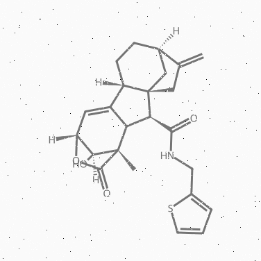 C=C1C[C@]23C[C@H]1CC[C@H]2C1=C[C@H]2OC(=O)[C@@](C)(C1[C@@H]3C(=O)NCc1cccs1)[C@H]2O